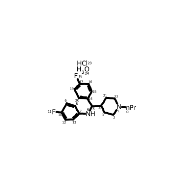 CCCN1CCC(C(Nc2ccc(F)cc2)c2ccc(F)cc2)CC1.Cl.O